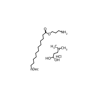 CCCCCCCCCCCCCCCCCCCCCC(=O)OCCCN.CN(C)CCC(O)O.Cl